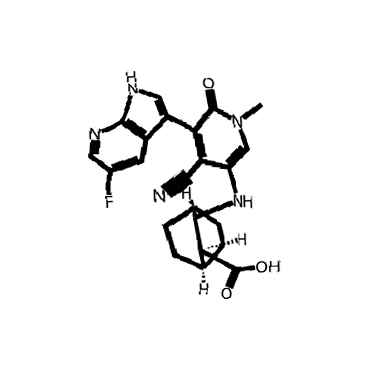 Cn1cc(NC2[C@H]3CC[C@H](CC3)[C@@H]2C(=O)O)c(C#N)c(-c2c[nH]c3ncc(F)cc23)c1=O